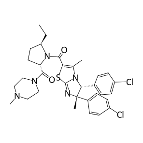 CC[C@@H]1CC[C@@H](C(=O)N2CCN(C)CC2)N1C(=O)C1=C(C)N2C(=N[C@@](C)(c3ccc(Cl)cc3)[C@H]2c2ccc(Cl)cc2)S1